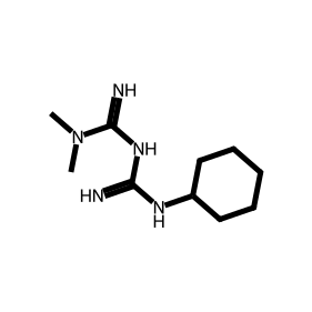 CN(C)C(=N)NC(=N)NC1CCCCC1